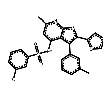 Cc1cccc(-c2c(-c3ccco3)sc3nc(C)cc(NS(=O)(=O)c4cccc(Cl)c4)c23)c1